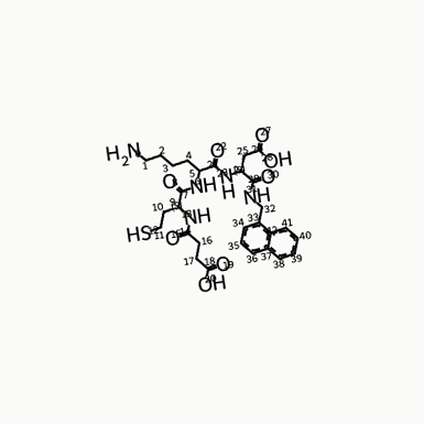 NCCCCC(NC(=O)[C@H](CCS)NC(=O)CCC(=O)O)C(=O)N[C@@H](CC(=O)O)C(=O)NCc1cccc2ccccc12